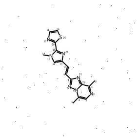 Cc1ncc(C)n2nc(C=Cc3cn(C)c(-c4nccs4)n3)nc12